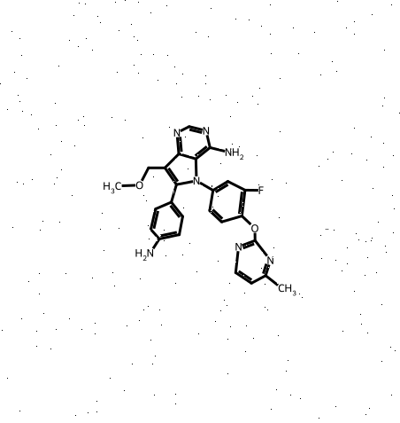 COCc1c(-c2ccc(N)cc2)n(-c2ccc(Oc3nccc(C)n3)c(F)c2)c2c(N)ncnc12